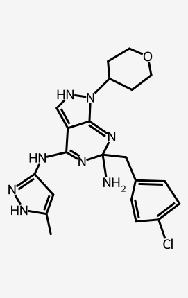 Cc1cc(NC2=NC(N)(Cc3ccc(Cl)cc3)N=C3C2=CNN3C2CCOCC2)n[nH]1